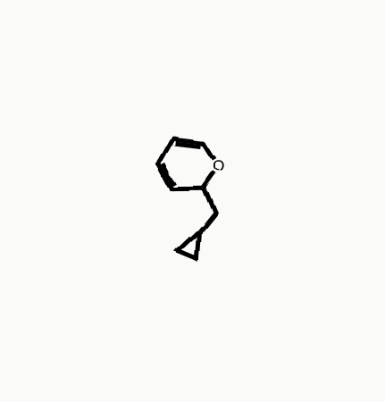 C1=COC(CC2CC2)C=C1